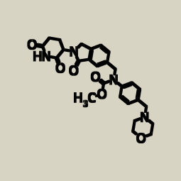 COC(=O)N(Cc1ccc2c(c1)C(=O)N(C1CCC(=O)NC1=O)C2)c1ccc(CN2CCOCC2)cc1